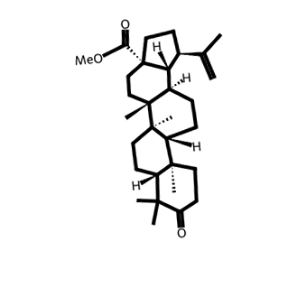 C=C(C)[C@@H]1CC[C@]2(C(=O)OC)CC[C@]3(C)[C@H](CC[C@@H]4[C@@]5(C)CCC(=O)C(C)(C)[C@@H]5CC[C@]43C)[C@@H]12